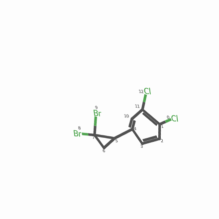 Clc1ccc(C2CC2(Br)Br)cc1Cl